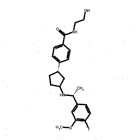 COc1cc([C@@H](C)NC2CC[C@H](c3ccc(C(=O)NCCO)cc3)C2)ccc1F